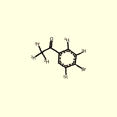 [2H]c1cc(C(=O)C([2H])([2H])[2H])c([2H])c([2H])c1Br